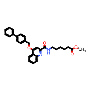 COC(=O)CCCCCNC(=O)c1cc(OCc2ccc(-c3ccccc3)cc2)c2ccccc2n1